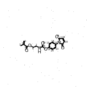 C=C(C)C(=O)OCCNC(=O)Oc1ccc(N2C(=O)C=CC2=O)cc1